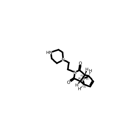 O=C1[C@@H]2[C@H](C(=O)N1CCN1CCNCC1)[C@H]1C=C[C@@H]2O1